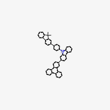 CC1(C)c2ccccc2-c2ccc(-c3ccc(-n4c5ccccc5c5ccc(-c6ccc7c8ccccc8c8ccccc8c7c6)cc54)cc3)cc21